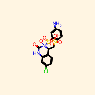 Nc1cccc(S(=O)(=O)[N+]2([O-])C(=O)Nc3cc(Cl)ccc3C2CS(=O)(=O)O)c1